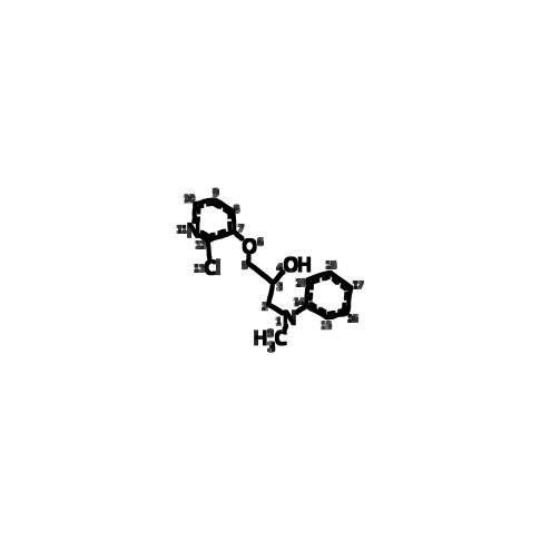 CN(CC(O)COc1cccnc1Cl)c1ccccc1